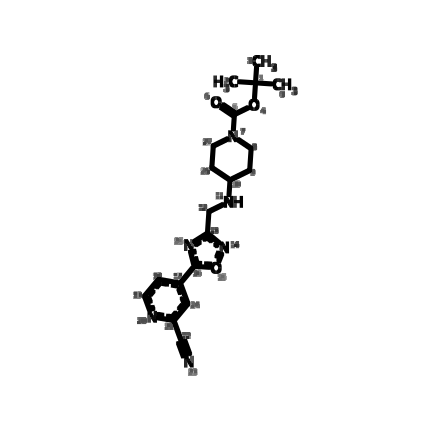 CC(C)(C)OC(=O)N1CCC(NCc2noc(-c3ccnc(C#N)c3)n2)CC1